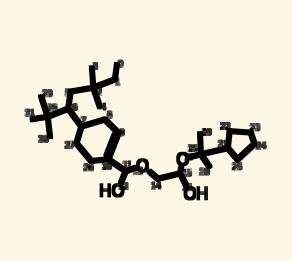 CCC(C)(C)CC(C1CC=C(C(O)OCC(O)OC(C)(C)C2CCCC2)CC1)C(C)(C)C